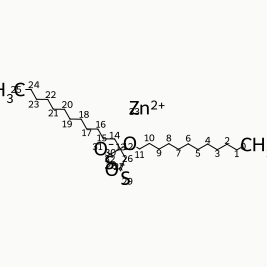 CCCCCCCCCCCCOC(CCCCCCCCCCCC)(CC([O-])=S)C([O-])=S.[Zn+2]